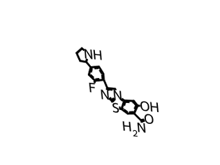 NC(=O)c1cc2sc3nc(-c4ccc(C5CCCN5)cc4F)cn3c2cc1O